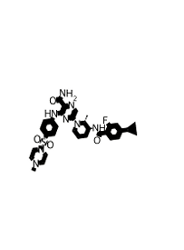 C[C@@H]1[C@H](NC(=O)c2ccc(C3CC3)cc2F)CCCN1c1cnc(C(N)=O)c(Nc2ccc(S(=O)(=O)N3CCN(C)CC3)cc2)n1